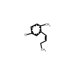 CC/C=C\c1cc(Cl)ccc1C